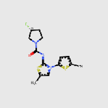 Cc1cn(-c2ccc(C#N)s2)c(=NC(=O)N2CC[C@@H](F)C2)s1